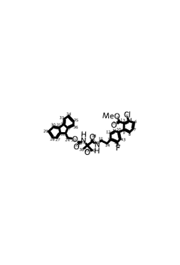 COC(=O)c1c(Cl)cccc1-c1ccc(CCNC(=O)C2(NC(=O)OCC3c4ccccc4-c4ccccc43)COC2)c(F)c1